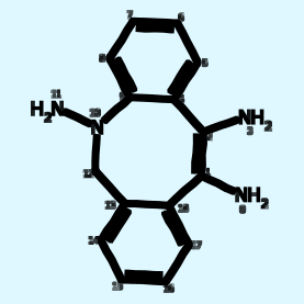 N/C1=C(\N)c2ccccc2N(N)Cc2ccccc21